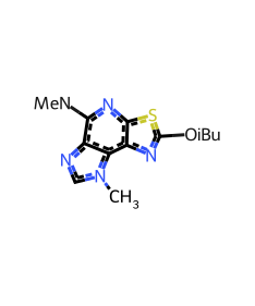 CNc1nc2sc(OCC(C)C)nc2c2c1ncn2C